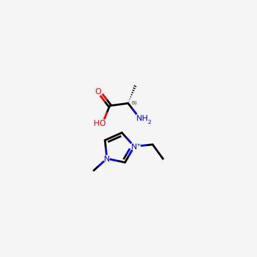 CC[n+]1ccn(C)c1.C[C@H](N)C(=O)O